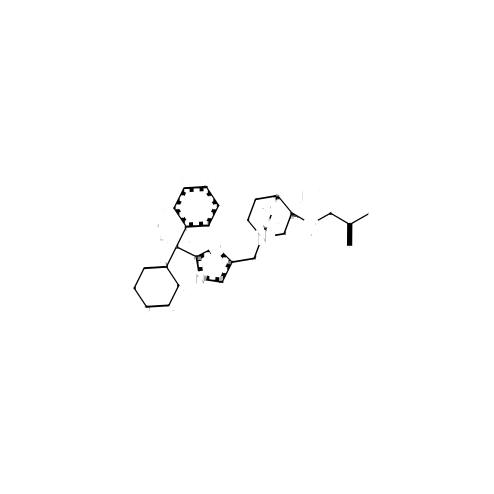 C=C(C)CO[C@H]1C[N+]2(Cc3cnc([C@](O)(c4ccccc4)C4CCCCC4)o3)CCC1CC2